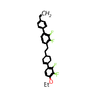 C=Cc1ccc(-c2ccc(CCC3CC=C(c4ccc(OCC)c(F)c4F)CC3)c(F)c2F)cc1